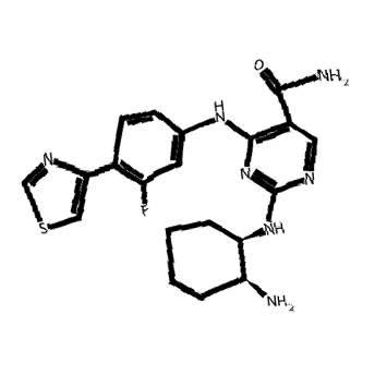 NC(=O)c1cnc(N[C@@H]2CCCC[C@@H]2N)nc1Nc1ccc(-c2cscn2)c(F)c1